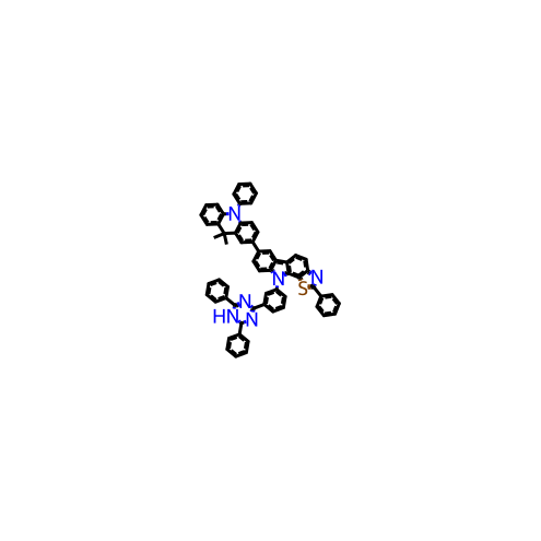 CC1(C)c2ccccc2N(c2ccccc2)c2ccc(-c3ccc4c(c3)c3ccc5nc(-c6ccccc6)sc5c3n4-c3cccc(C4=NC(c5ccccc5)NC(c5ccccc5)=N4)c3)cc21